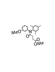 COC(=O)CCC(=O)N(c1cccc(OC)c1)c1c(C)cc(C)cc1C